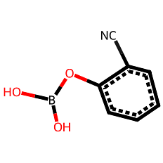 N#Cc1ccccc1OB(O)O